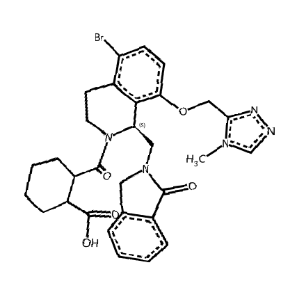 Cn1cnnc1COc1ccc(Br)c2c1[C@@H](CN1Cc3ccccc3C1=O)N(C(=O)C1CCCCC1C(=O)O)CC2